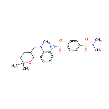 CN(CC1CCC(C)(C)OC1)c1ccccc1NS(=O)(=O)c1ccc(S(=O)(=O)N(C)C)cc1